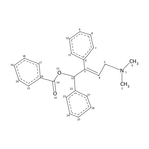 CN(C)C/C=C(\c1ccccc1)C(OC(=O)c1ccccc1)c1ccccc1